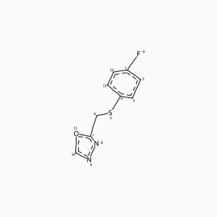 Fc1ccc(SCc2nnco2)cc1